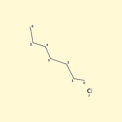 CCCCCCC.[C]